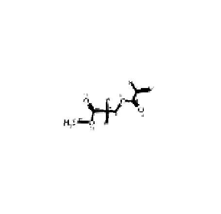 C=C(C)C(=O)OCC(C)(C)C(=O)O[SiH3]